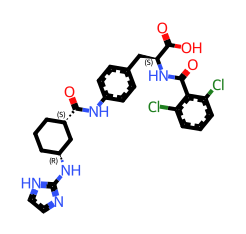 O=C(N[C@@H](Cc1ccc(NC(=O)[C@H]2CCC[C@@H](Nc3ncc[nH]3)C2)cc1)C(=O)O)c1c(Cl)cccc1Cl